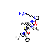 CC[C@H](C)[C@H](NC(=O)C1CCCCN1CCCCCCN)C(=O)N(C)[C@H](C[C@@H](OC(C)=O)c1nc(C(=O)N[C@@H](Cc2ccccc2)C[C@H](C)C(=O)O)cs1)C(C)C